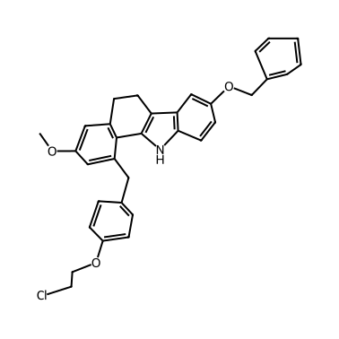 COc1cc2c(c(Cc3ccc(OCCCl)cc3)c1)-c1[nH]c3ccc(OCc4ccccc4)cc3c1CC2